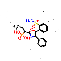 CCC(c1nc(-c2ccccc2)c(-c2ccccc2S(N)(=O)=O)o1)P(=O)(O)O